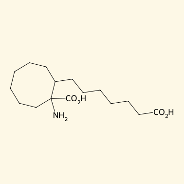 NC1(C(=O)O)CCCCCCC1CCCCCCC(=O)O